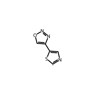 [c]1ncc(-c2conn2)s1